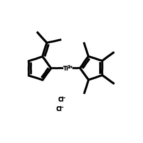 CC(C)=C1C=CC=[C]1[Ti+2][C]1=C(C)C(C)=C(C)C1C.[Cl-].[Cl-]